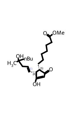 CCCCC(C)(O)C/C=C/[C@H]1C(O)=CC(=O)[C@H]1CCCCCCC(=O)OC